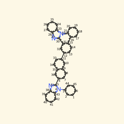 c1ccc(-n2c(-c3ccc4cc(-c5ccc6c7ccccc7n7c8ccccc8nc7c6c5)ccc4c3)nc3ccccc32)cc1